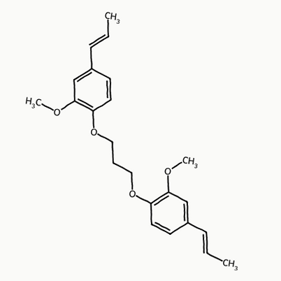 CC=Cc1ccc(OCCCOc2ccc(C=CC)cc2OC)c(OC)c1